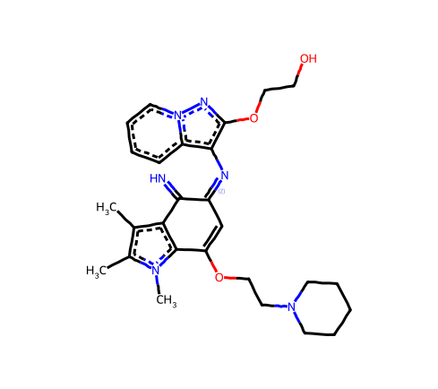 Cc1c2c(n(C)c1C)C(OCCN1CCCCC1)=C/C(=N/c1c(OCCO)nn3ccccc13)C2=N